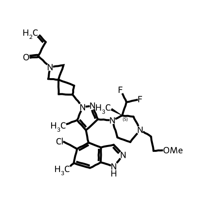 C=CC(=O)N1CC2(CC(n3nc(N4CCN(CCOC)C[C@@]4(C)C(F)F)c(-c4c(Cl)c(C)cc5[nH]ncc45)c3C)C2)C1